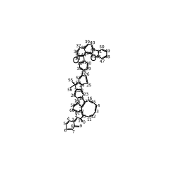 C=C(/C=c1/ccccc1=C)c1ccccccc(-c2ccc3c(c2)-c2ccc(-c4ccc5c(c4)oc4ccc6ccc7c(c6c45)OC4C=CC=CC74)cc2C3(C)C)c2ccccc12